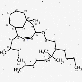 CCCCNC(C)(C)C(CCCC)CCOC1/C=C\C(CC(C)CC)C2CCCCC(C)(C1)C2